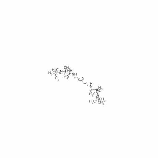 CC(C)(C)N=NC(C)(C)NC(=S)NCCCC(=S)SCCNC(=S)NC(C)(C)N=NC(C)(C)C